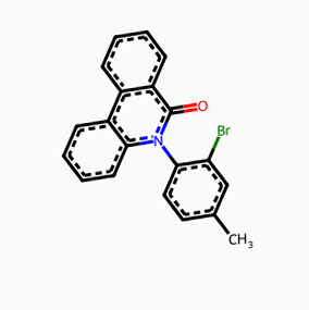 Cc1ccc(-n2c(=O)c3ccccc3c3ccccc32)c(Br)c1